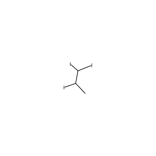 CC(I)C(I)I